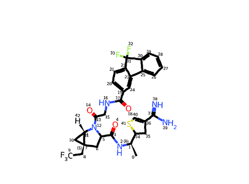 C[C@@H](NC(=O)C1C[C@]2(CC(F)(F)F)C[C@@H]2N1C(=O)CNC(=O)c1ccc2c(c1)-c1ccccc1C2(F)F)C1CC(C(=N)N)=CS1